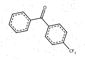 O=C(c1ccccc1)c1ccc(C(F)(F)F)cc1